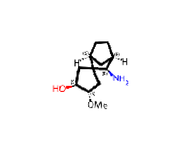 CO[C@H]1CC2(C[C@@H]1O)[C@H]1CC[C@H](C1)[C@H]2N